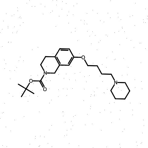 CC(C)(C)OC(=O)N1CCc2ccc(OCCCCN3CCCCC3)cc2C1